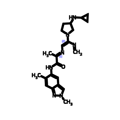 C=N/C(=C\N=C(/C)C(=O)Nc1cc2cn(C)nc2cc1C)N1CCC(NC2CC2)C1